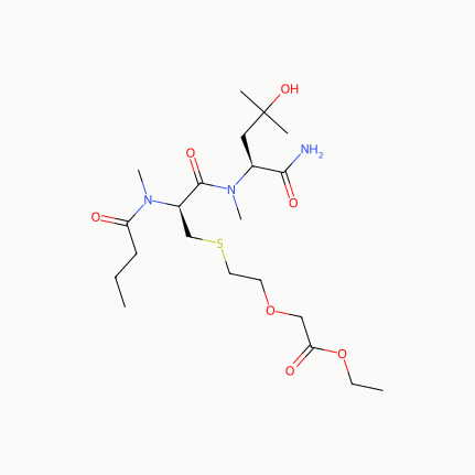 CCCC(=O)N(C)[C@H](CSCCOCC(=O)OCC)C(=O)N(C)[C@@H](CC(C)(C)O)C(N)=O